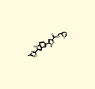 Cc1noc(-c2cc3cc(-c4cc(C(=O)NCc5cncs5)nn4C)ccc3[nH]2)n1